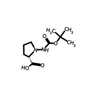 CC(C)(C)OC(=O)NN1CCC[C@H]1C(=O)O